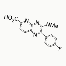 CNc1nc2nc(C(=O)O)ccc2nc1-c1ccc(F)cc1